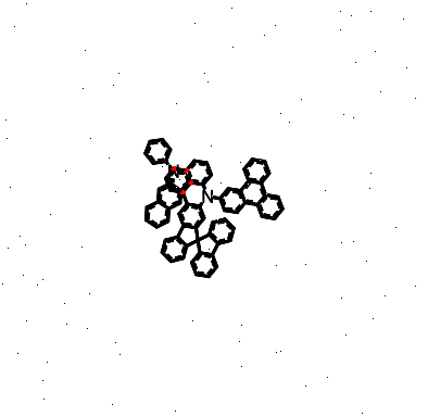 c1ccc(-c2cc3c(cc2N(c2ccc4c5ccccc5c5ccccc5c4c2)c2cccc4c2c2cc5ccccc5cc2n4-c2ccccc2)C2(c4ccccc4-c4ccccc42)c2ccccc2-3)cc1